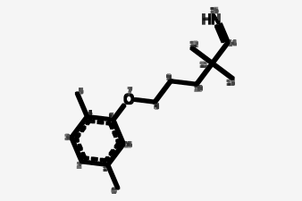 Cc1ccc(C)c(OCCCC(C)(C)C=N)c1